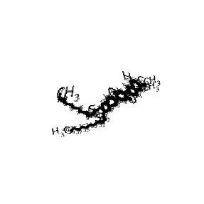 CCCCCCCCc1ccc(-c2cc3cc4oc5cc6c(cc5c4cc3cc2-c2ccc(CCCCCCCC)s2)oc2cc3cc(C(C)(C)C)ccc3cc26)s1